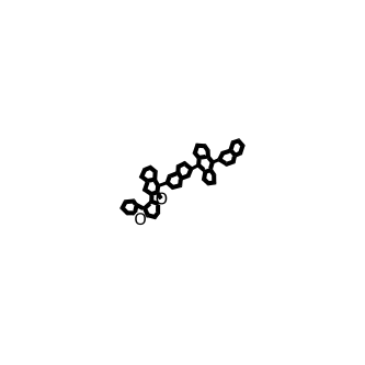 c1ccc2cc(-c3c4ccccc4c(-c4ccc5cc(-c6c7ccccc7cc7c6oc6ccc8oc9ccccc9c8c67)ccc5c4)c4ccccc34)ccc2c1